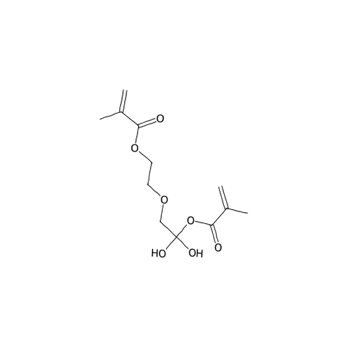 C=C(C)C(=O)OCCOCC(O)(O)OC(=O)C(=C)C